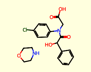 C1COCCN1.O=C(O)CN(C(=O)C(O)c1ccccc1)c1ccc(Cl)cc1